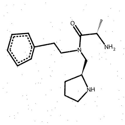 C[C@H](N)C(=O)N(CCc1ccccc1)C[C@@H]1CCCN1